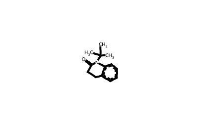 CC(C)(C)N1C(=O)CCc2ccccc21